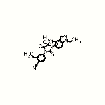 C=Cc1cc(N2C(=O)C(C)(C)N(c3ccc4c(cnn4CC)c3)C2=S)ccc1C#N